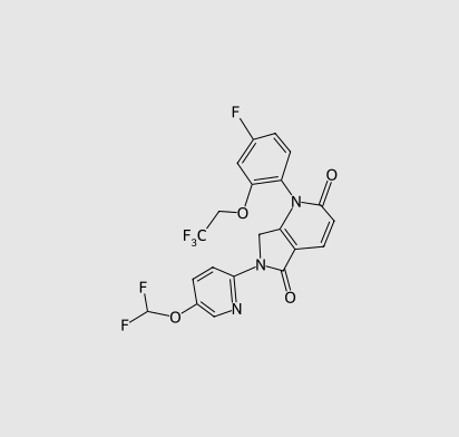 O=C1c2ccc(=O)n(-c3ccc(F)cc3OCC(F)(F)F)c2CN1c1ccc(OC(F)F)cn1